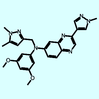 COc1cc(OC)cc(N(Cc2cc(C)n(C)n2)c2ccc3ncc(-c4cnn(C)c4)nc3c2)c1